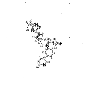 Cc1ncc(-c2cccc(N(CC34CCC(c5nc(C(C)(C)C)no5)(CC3)CC4)C(=O)C34CC(F)(C3)C4)c2)cn1